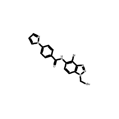 CC(C)(C)Cn1nnc2c(Br)c(NC(=O)c3ccc(-n4cccn4)cc3)ccc21